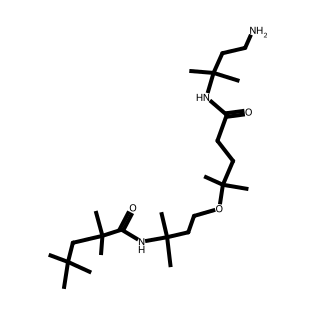 CC(C)(C)CC(C)(C)C(=O)NC(C)(C)CCOC(C)(C)CCC(=O)NC(C)(C)CCN